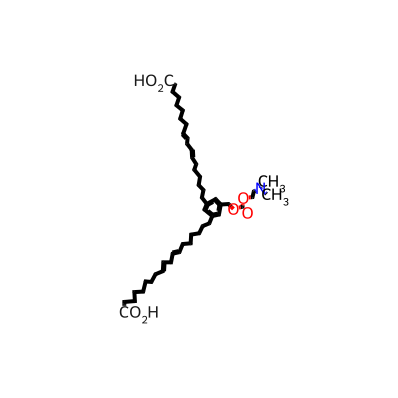 CN(C)CCOC(=O)OCc1cc(CCCCCCC=CCC=CCCCCCCCC(=O)O)cc(CCCCCCC=CCC=CCCCCCCCC(=O)O)c1